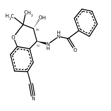 CC1(C)Oc2ccc(C#N)cc2[C@H](NNC(=O)c2ccccc2)[C@H]1O